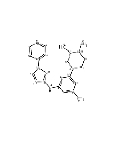 Cc1cc(Nc2ncn(-c3ccccc3)n2)cc(N2CCN(C)C(C)C2)c1